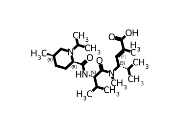 C/C(=C\[C@H](C(C)C)N(C)C(=O)[C@@H](NC(=O)[C@H]1CC[C@@H](C)CN1C(C)C)C(C)C)C(=O)O